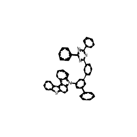 c1ccc(-c2cc(-c3cccc(-c4nc(-c5ccccc5)nc(-c5ccccc5)n4)c3)cc(-n3c4ccccc4c4c5c(ccc43)sc3ccccc35)c2)cc1